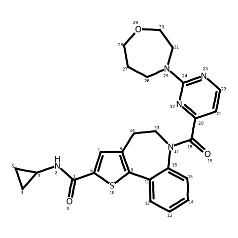 O=C(NC1CC1)c1cc2c(s1)-c1ccccc1N(C(=O)c1ccnc(N3CCCOCC3)n1)CC2